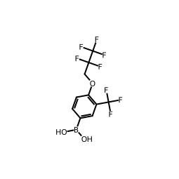 OB(O)c1ccc(OCC(F)(F)C(F)(F)F)c(C(F)(F)F)c1